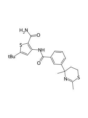 CC1=NC(C)(c2cccc(C(=O)Nc3cc(C(C)(C)C)sc3C(N)=O)c2)CCS1